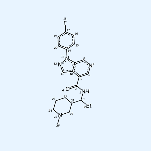 CCC(NC(=O)c1cncc2c1cnn2-c1ccc(F)cc1)C1CCCN(C)C1